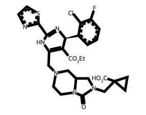 CCOC(=O)C1=C(CN2CCN3C(=O)N(CC4(C(=O)O)CC4)CC3C2)NC(c2nccs2)=N[C@H]1c1cccc(F)c1Cl